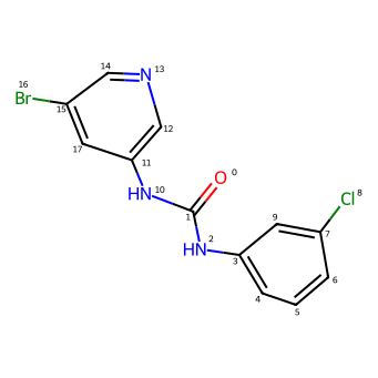 O=C(Nc1cccc(Cl)c1)Nc1cncc(Br)c1